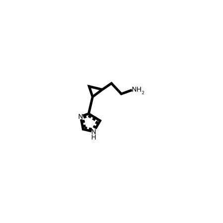 NCCC1CC1c1c[nH]cn1